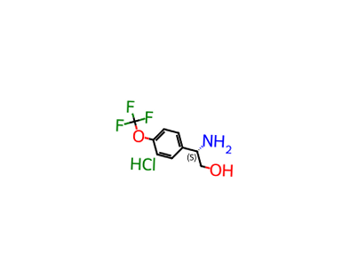 Cl.N[C@H](CO)c1ccc(OC(F)(F)F)cc1